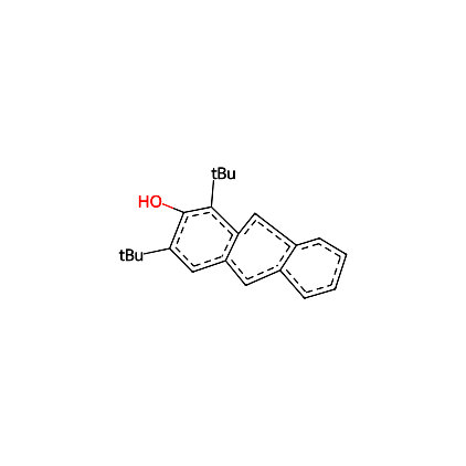 CC(C)(C)c1cc2cc3ccccc3cc2c(C(C)(C)C)c1O